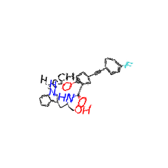 CC(C)Oc1ccc(C#Cc2ccc(F)cc2)cc1C(=O)N[C@@H](CO)Cc1c[nH]c2ccccc12